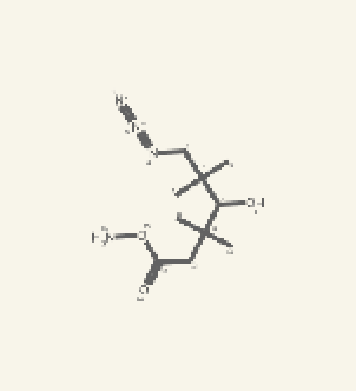 CC(C)(CN=[N+]=[N-])C(O)C(C)(C)CC(=O)ON